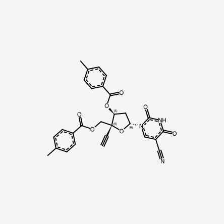 C#C[C@]1(COC(=O)c2ccc(C)cc2)O[C@@H](n2cc(C#N)c(=O)[nH]c2=O)C[C@@H]1OC(=O)c1ccc(C)cc1